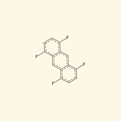 Fc1[c]cc(F)c2cc3c(F)[c]cc(F)c3cc12